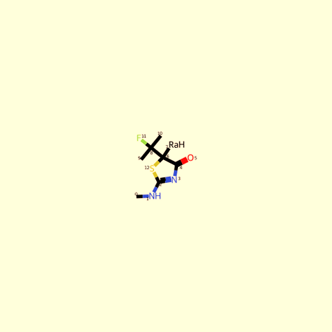 CNC1=NC(=O)[C]([RaH])(C(C)(C)F)S1